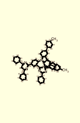 Cc1ccc(-c2ccc3c(c2)c2cc(-c4ccc(C)cc4)ccc2n3-c2ccc(-c3nc(-c4ccccc4)cc(-c4ccccc4)n3)cc2-c2nc(-c3ccccc3)nc(-c3ccccc3)n2)cc1